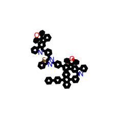 C1=CC2=C(c3ccc(-c4ccccc4)cc3)c3ccccc3C(c3cccc(-c4nc5ccccc5c5cc6c(cc45)-c4ccc(-c5ccc(-c7nc(-c8cccc(-c9nc%10ccccc%10c%10cc%11c(cc9%10)-c9ccccc9C%119c%10ccccc%10Oc%10ccccc%109)c8)c8sc9ccccc9c8n7)cc5)cc4C64c5ccccc5Oc5ccccc54)c3)C2C=C1